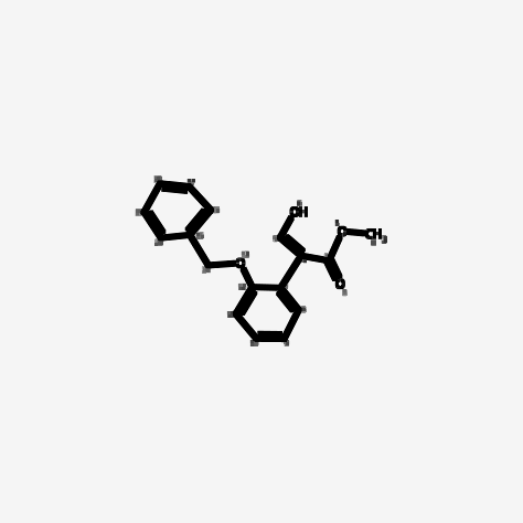 COC(=O)/C(=C\O)c1ccccc1OCc1ccccc1